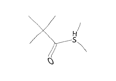 C[SH](C)C(=O)C(C)(C)C